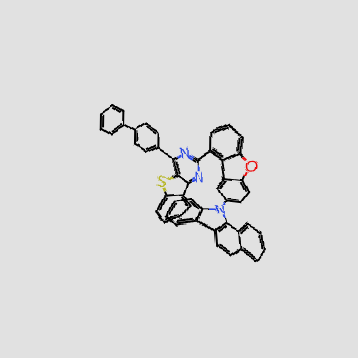 c1ccc(-c2ccc(-c3nc(-c4cccc5oc6ccc(-n7c8ccccc8c8ccc9ccccc9c87)cc6c45)nc4c3sc3ccccc34)cc2)cc1